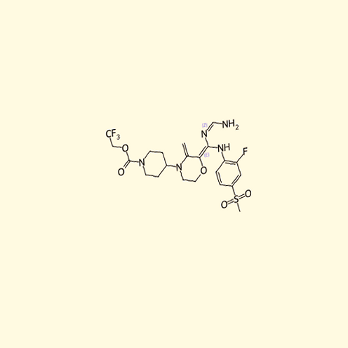 C=C1/C(=C(\N=C/N)Nc2ccc(S(C)(=O)=O)cc2F)OCCN1C1CCN(C(=O)OCC(F)(F)F)CC1